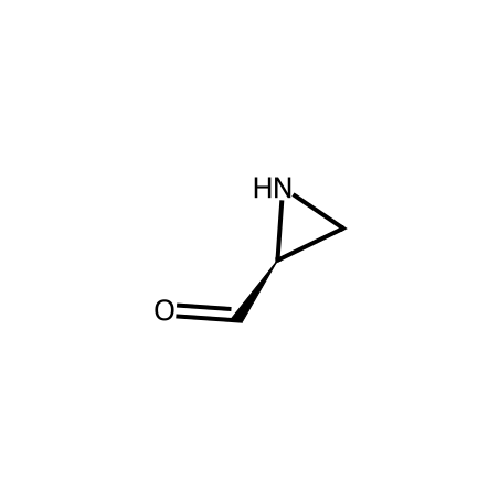 O=C[C@@H]1CN1